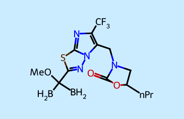 BC(B)(OC)c1nn2c(CN3CC(CCC)OC3=O)c(C(F)(F)F)nc2s1